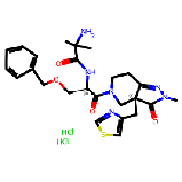 CN1N=C2CCN(C(=O)[C@@H](COCc3ccccc3)NC(=O)C(C)(C)N)C[C@@]2(Cc2cscn2)C1=O.Cl.Cl